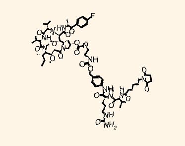 CC[C@H](C)[C@@H]([C@@H](CC(=O)N1C[C@@H](OC(=O)N(C)CCNC(=O)OCc2ccc(NC(=O)[C@H](CCCNC(N)=O)NC(=O)[C@@H](NC(=O)CCCCCN3C(=O)C=CC3=O)C(C)C)cc2)C[C@H]1[C@H](OC)[C@@H](C)C(=O)N[C@@H](C)C(=O)c1ccc(F)cc1)OC)N(C)C(=O)[C@@H](NC(=O)[C@H](C(C)C)N(C)C)C(C)C